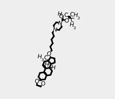 CC(C)(C)OC(=O)N1CCN(CCCCCCO[C@H]2CC[C@H]3[C@@H]4CCC5=C(CCC6(C5)OCCO6)C4=CC[C@]23C)CC1